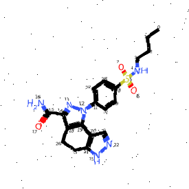 CCCCNS(=O)(=O)c1ccc(-n2nc(C(N)=O)c3c2-c2cn[nH]c2CC3)cc1